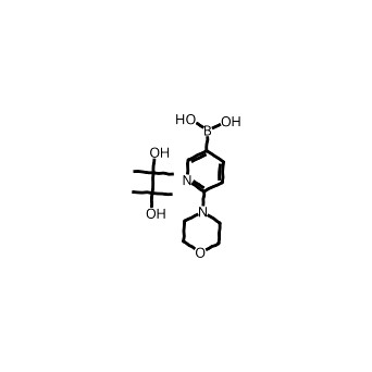 CC(C)(O)C(C)(C)O.OB(O)c1ccc(N2CCOCC2)nc1